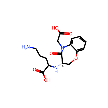 NCCCC(N[C@H]1COc2ccccc2N(CC(=O)O)C1=O)C(=O)O